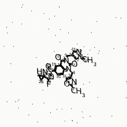 Cc1nc(Cn2c(=O)n(Cc3cnn(C)c3)c(=O)c3cc(S(=O)(=O)NC4(CF)CC4)ccc32)co1